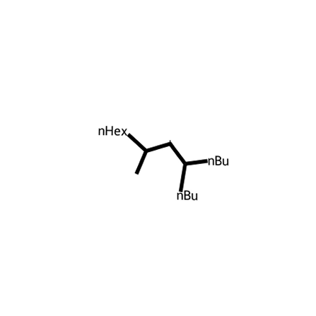 CCCCCCC(C)[CH]C(CCCC)CCCC